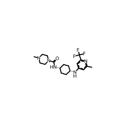 Cc1cc(N[C@H]2CC[C@@H](NC(=O)N3CCN(C)CC3)CC2)cc(C(F)(F)F)n1